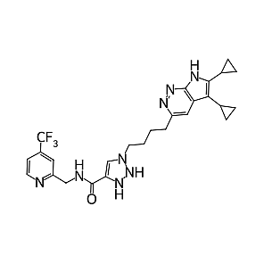 O=C(NCc1cc(C(F)(F)F)ccn1)C1=CN(CCCCc2cc3c(C4CC4)c(C4CC4)[nH]c3nn2)NN1